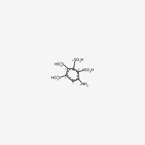 Nc1cc(S(=O)(=O)O)c(S(=O)(=O)O)c(S(=O)(=O)O)c1S(=O)(=O)O